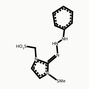 CSn1ccn(CS(=O)(=O)O)/c1=N\NNc1ccccc1